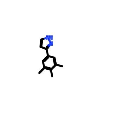 Cc1cc(-c2cc[nH]n2)cc(C)c1C